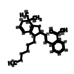 CCCCCCC1C2=C(CC1C=Cc1ccccc1C(=O)O)C(C)(C)CC=C2